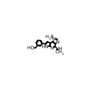 CNc1nc2[nH]c(-c3cccc(CO)c3)cc2c2c1ncn2C